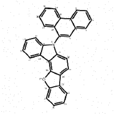 c1ccc2c(c1)cc(-n1c3ccccc3c3c4oc5ccccc5c4ccc31)c1ccccc12